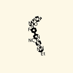 CCc1cnc(N2CCN(c3ncc(-c4ccc(-n5cnn(CN6CCN(C)CC6)c5=O)c(F)c4)cc3C#N)[C@@H](C)C2)nc1